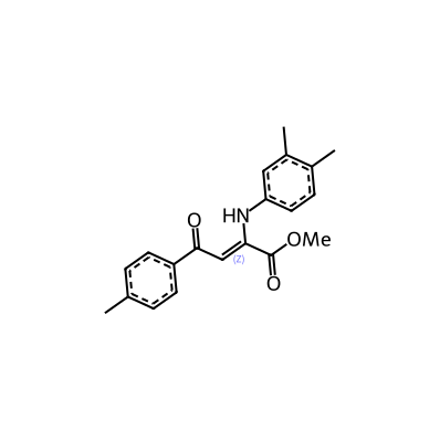 COC(=O)/C(=C/C(=O)c1ccc(C)cc1)Nc1ccc(C)c(C)c1